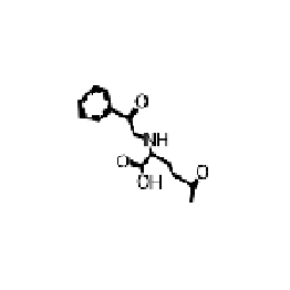 CC(=O)CCC(NCC(=O)c1ccccc1)C(=O)O